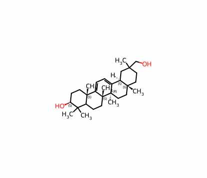 CC1(CO)CC[C@]2(C)CC[C@]3(C)C(=CC=C4[C@@]5(C)CC[C@H](O)C(C)(C)C5CC[C@]43C)[C@H]2C1